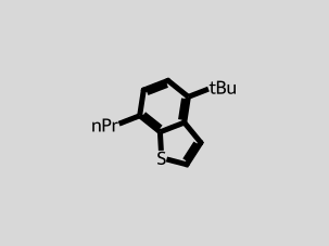 CCCc1ccc(C(C)(C)C)c2ccsc12